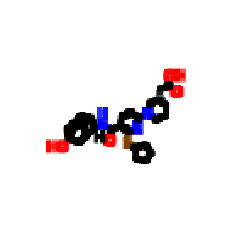 O=C(O)C[C@@H]1CCCN(c2ccc(C(=O)N[C@H]3C4CC5CC3C[C@@](O)(C5)C4)c(SC3CCCC3)n2)C1